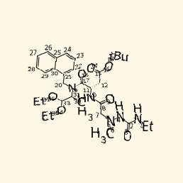 CCNC(=O)NN(C)CC(=O)N[C@@H](CC(=O)OC(C)(C)C)C(=O)N(Cc1cccc2ccccc12)[C@@H](C)C(OCC)OCC